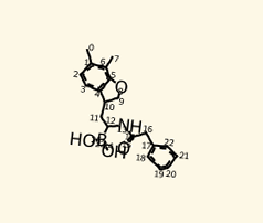 Cc1ccc2c(c1C)OCC2CC(NC(=O)Cc1ccccc1)B(O)O